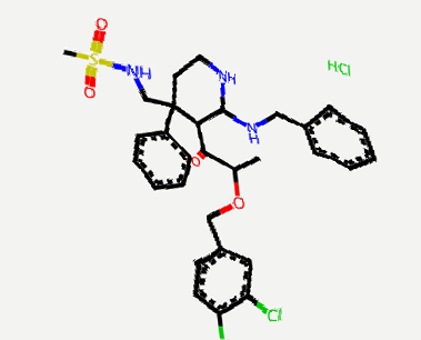 CC(OCc1ccc(Cl)c(Cl)c1)C(=O)C1C(NCc2ccccc2)NCCC1(CNS(C)(=O)=O)c1ccccc1.Cl